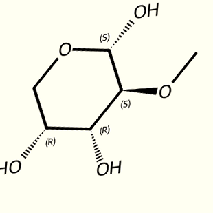 CO[C@H]1[C@H](O)[C@H](O)CO[C@@H]1O